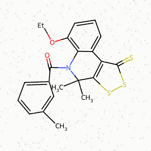 CCOc1cccc2c1N(C(=O)c1cccc(C)c1)C(C)(C)c1ssc(=S)c1-2